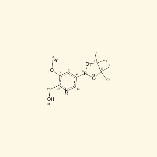 CC(C)Oc1cc(B2OC(C)(C)C(C)(C)O2)cnc1CO